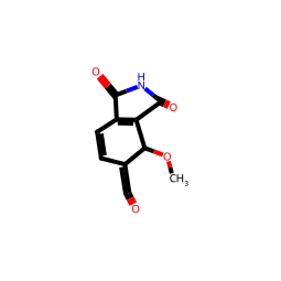 COC1C(=C=O)C=CC2=C1C(=O)NC2=O